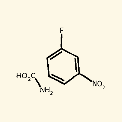 NC(=O)O.O=[N+]([O-])c1cccc(F)c1